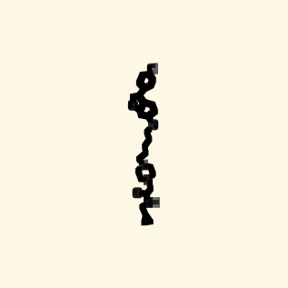 O=C(CN1CCN(CCCCCOc2ccc3c(-c4ccc(Cl)cc4)coc3c2)CC1)NCC1CC1